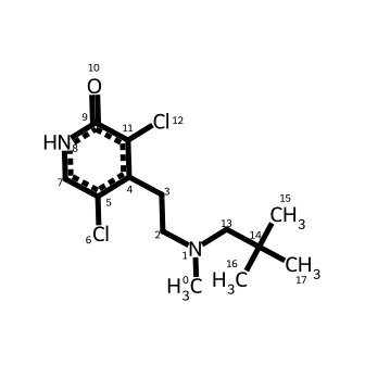 CN(CCc1c(Cl)c[nH]c(=O)c1Cl)CC(C)(C)C